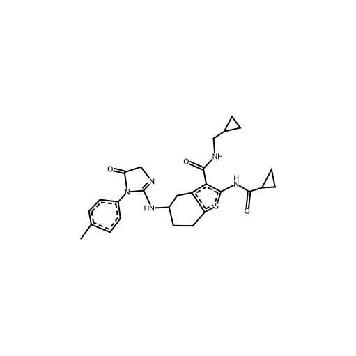 Cc1ccc(N2C(=O)CN=C2NC2CCc3sc(NC(=O)C4CC4)c(C(=O)NCC4CC4)c3C2)cc1